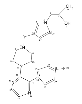 CC(O)Cn1cc(CN2CCN(c3nccnc3-c3ccc(F)cc3)CC2)cn1